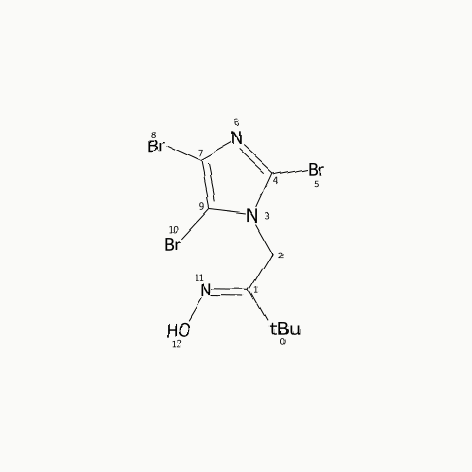 CC(C)(C)C(Cn1c(Br)nc(Br)c1Br)=NO